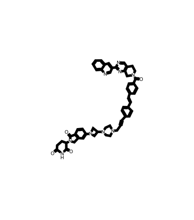 O=C1CCC(N2Cc3cc(N4CC(N5CCN(CC#Cc6ccc(/C=C/c7ccc(C(=O)N8CCc9cnc(-c%10cnc%11ccccc%11c%10)nc9C8)cc7)cc6)CC5)C4)ccc3C2=O)C(=O)N1